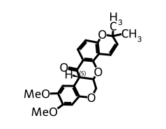 COc1cc2c(cc1OC)[C@@H]1C(=O)c3ccc4c(c3OC1CO2)C=CC(C)(C)O4